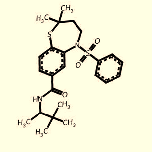 CC(NC(=O)c1ccc2c(c1)N(S(=O)(=O)c1ccccc1)CCC(C)(C)S2)C(C)(C)C